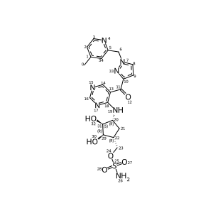 Cc1ccnc(Cn2ccc(C(=O)c3cncnc3N[C@@H]3C[C@H](COS(N)(=O)=O)[C@@H](O)[C@H]3O)n2)c1